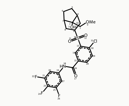 COCC1(O)C2CCC1CC(S(=O)(=O)c1cc(C(=O)Nc3cc(F)c(F)c(F)c3)ccc1Cl)C2